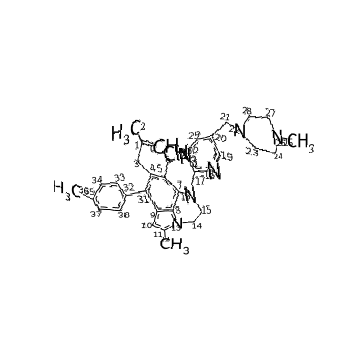 C=C(C)Cc1c(C)c2c3c(cc(C)n3CCN2c2ncc(CN3CCN(C)CC3)cn2)c1-c1ccc(C)cc1